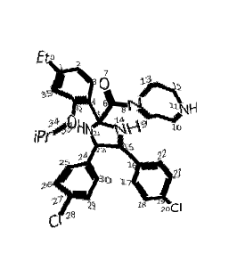 CCc1ccc(C2(C(=O)N3CCNCC3)NC(c3ccc(Cl)cc3)C(c3ccc(Cl)cc3)N2)c(OC(C)C)c1